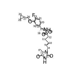 CC1C(=O)NC(=O)N1C/C=C/CCS(=O)(=O)N[C@H](C)c1ccc(F)c(OCC2CC2)c1